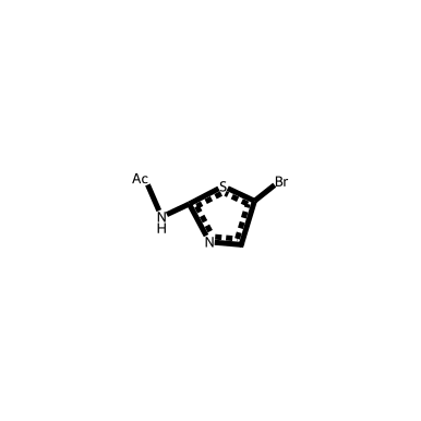 CC(=O)Nc1ncc(Br)s1